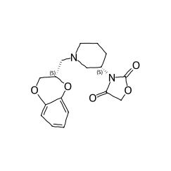 O=C1COC(=O)N1[C@H]1CCCN(C[C@H]2COc3ccccc3O2)C1